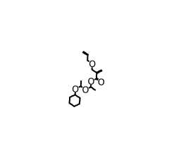 C=CCOCC(=C)C(=O)OC(C)OC(C)OC1CCCCC1